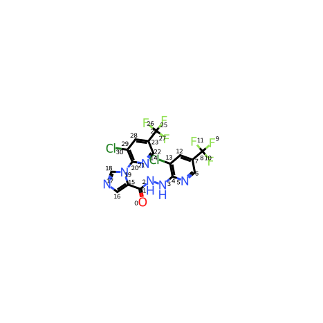 O=C(NNc1ncc(C(F)(F)F)cc1Cl)c1cncn1-c1ncc(C(F)(F)F)cc1Cl